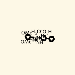 CC(=O)O.COc1cccc(OC)c1CNC(=N)Nc1ccc(-c2ccccc2)cn1